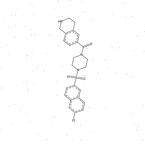 O=C(c1ccc2c(c1)CCNC2)N1CCN(S(=O)(=O)c2ccc3cc(Cl)ccc3c2)CC1